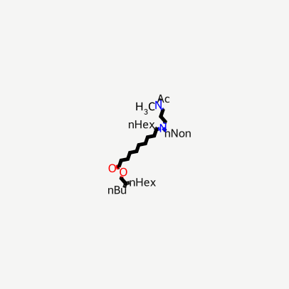 CCCCCCCCCN(CCCN(C)C(C)=O)C(CCCCCC)CCCCCCCCC(=O)OCC(CCCC)CCCCCC